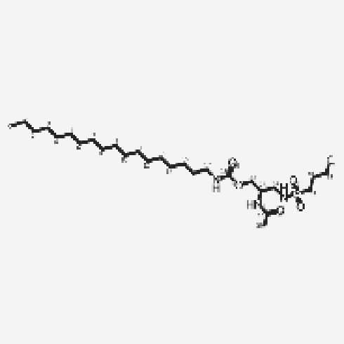 CCCCCCCCCCCCCCCCCCNC(=O)OCC(CNS(=O)(=O)CCCCl)NC(C)=O